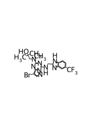 CN(CC(C)(C)O)c1nc(NCc2nc3cc(C(F)(F)F)ccc3[nH]2)n2ncc(Br)c2n1